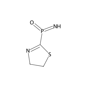 N=P(=O)C1=NCCS1